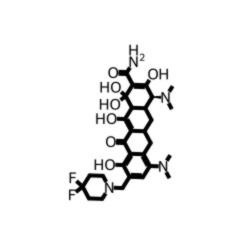 CN(C)c1cc(CN2CCC(F)(F)CC2)c(O)c2c1CC1CC3C(C(O)=C1C2=O)C(O)(O)C(C(N)=O)=C(O)[C@H]3N(C)C